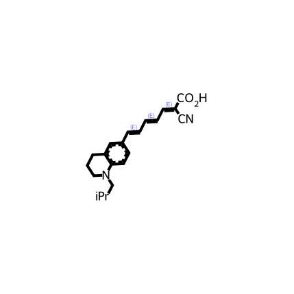 CC(C)CN1CCCc2cc(/C=C/C=C/C=C(\C#N)C(=O)O)ccc21